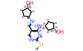 CSc1ncc(/C=N/[C@@H]2CC[C@@H](O)C2)c(N[C@@H]2CC[C@@H](O)C2)n1